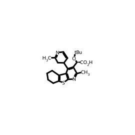 CC1=NC=CC(c2c([C@@H](OC(C)(C)C)C(=O)O)c(C)nc3sc4c(c23)CCCC4)C1